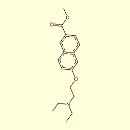 CCN(CC)CCOc1ccc2cc(C(=O)OC)ccc2c1